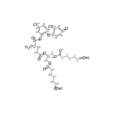 CCCCCCCCCCCCCCCC(=O)OCC(COC(=O)CCCCCCCCCCCCCCC)OC(=O)CCC(C)C(=O)Oc1cc(Cl)ccc1Oc1ccc(Cl)cc1Cl